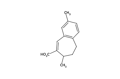 Cc1ccc2c(c1)C=C(C(=O)O)C(C)CC2